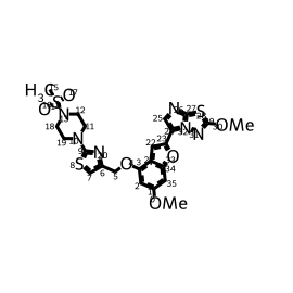 COc1cc(OCc2csc(N3CCN(S(C)(=O)=O)CC3)n2)c2cc(-c3cnc4sc(OC)nn34)oc2c1